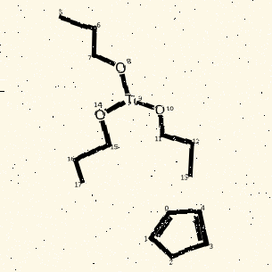 C1=CCC=C1.CCC[O][Ti]([O]CCC)[O]CCC